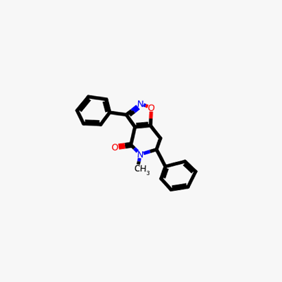 CN1C(=O)c2c(-c3ccccc3)noc2CC1c1ccccc1